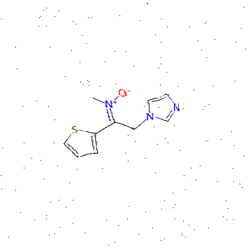 C[N+]([O-])=C(Cn1ccnc1)c1cccs1